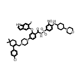 CC1(C)CCC(CN2CCN(c3ccc(C(=O)NS(=O)(=O)c4ccc(NC5CCC(N6CCOCC6)CC5)c([N+](=O)[O-])c4)c(Oc4cc5cc[nH]c5cc4F)c3)CC2)=C(c2ccc(Cl)cc2)C1